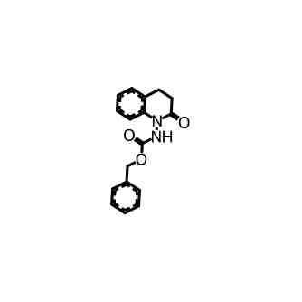 O=C(NN1C(=O)CCc2ccccc21)OCc1ccccc1